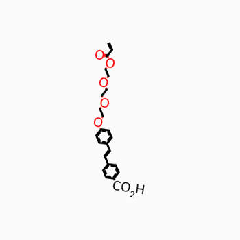 C=CC(=O)OCCOCCOCCOc1ccc(/C=C/c2ccc(C(=O)O)cc2)cc1